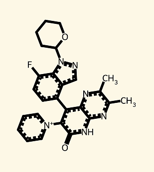 Cc1nc2[nH]c(=O)c(-[n+]3ccccc3)c(-c3ccc(F)c4c3cnn4C3CCCCO3)c2nc1C